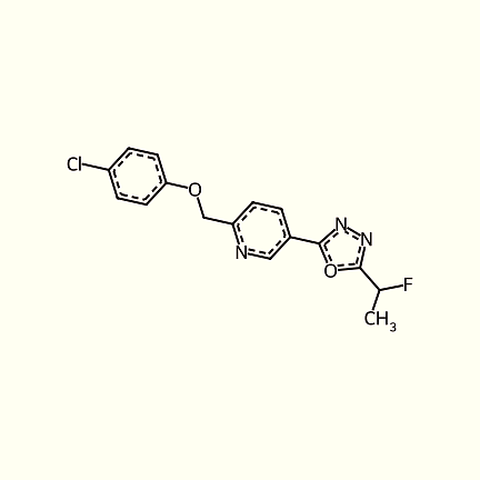 CC(F)c1nnc(-c2ccc(COc3ccc(Cl)cc3)nc2)o1